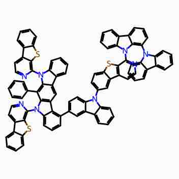 c1ccc(-c2c3c(cc4c5c(-c6ccc7c(c6)c6ccccc6n7-c6ccc7sc8c(-n9c%10ccccc%10c%10cccc(-n%11c%12ccccc%12c%12ccccc%12%11)c%109)nccc8c7c6)cccc5n(-c5nccc6c5sc5ccccc56)c24)c2ccccc2n3-c2nccc3c2sc2ccccc23)cc1